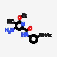 CCOc1nc(C(=O)Nc2cccc(NC(C)=O)c2)cc(N)c1C#N